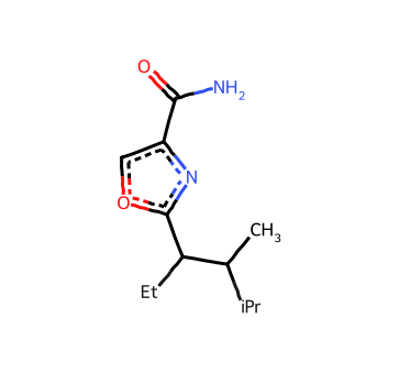 CCC(c1nc(C(N)=O)co1)C(C)C(C)C